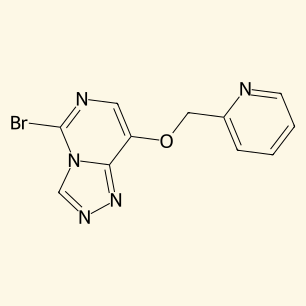 Brc1ncc(OCc2ccccn2)c2nncn12